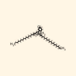 CCCCCCCCCCCCCCCCC=CC(c1ccccc1)[N+](C)(C)C=CCCCCCCCCCCCCCCCC.[Cl-]